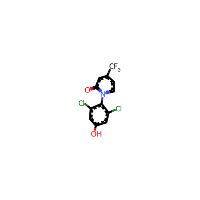 O=c1cc(C(F)(F)F)ccn1-c1c(Cl)cc(O)cc1Cl